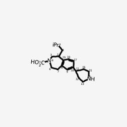 CC(C)CC1CN(C(=O)O)CCc2cc(C3CCNCC3)ccc21